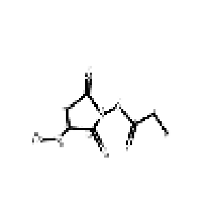 CCC(=O)ON1C(=O)CC(SS)C1=O